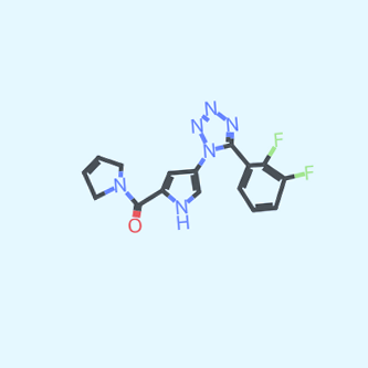 O=C(c1cc(-n2nnnc2-c2cccc(F)c2F)c[nH]1)N1CC=CC1